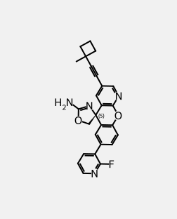 CC1(C#Cc2cnc3c(c2)[C@]2(COC(N)=N2)c2cc(-c4cccnc4F)ccc2O3)CCC1